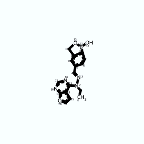 CCN(/N=C/c1ccc2c(c1)COB2O)c1ncnc2occc12